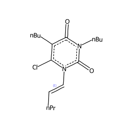 CCC/C=C/n1c(Cl)c(CCCC)c(=O)n(CCCC)c1=O